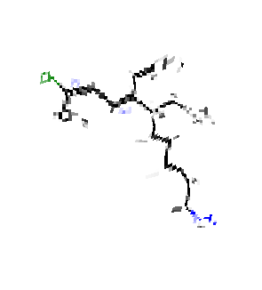 C=C/C(=C\C=C(/C)Cl)[C@@H](CC)CCCCCN